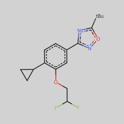 CC(C)(C)c1nc(-c2ccc(C3CC3)c(OCC(F)F)c2)no1